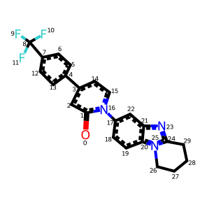 O=c1cc(-c2ccc(C(F)(F)F)cc2)ccn1-c1ccc2c(c1)nc1n2CCCC1